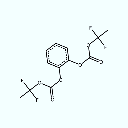 CC(F)(F)OC(=O)Oc1ccccc1OC(=O)OC(C)(F)F